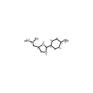 CCCN(CC)CC1COC(C2CCC(C(C)(C)C)CC2)O1